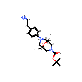 CC(C)(C)OC(=O)N1C[C@@H]2CN(c3ccc(CCN)cc3)C[C@H](C1)O2